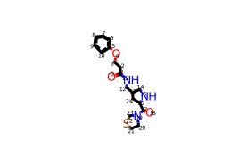 O=C(CCOc1ccccc1)NCC1CNC(C(=O)N2CCSC2)C1